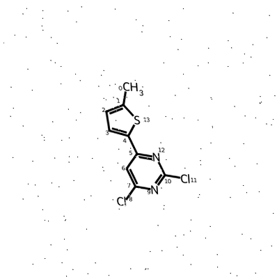 Cc1ccc(-c2cc(Cl)nc(Cl)n2)s1